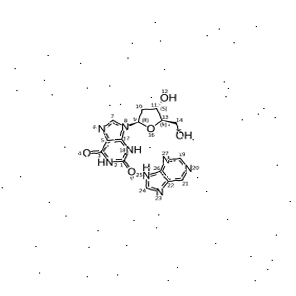 O=c1[nH]c(=O)c2ncn([C@H]3C[C@H](O)[C@@H](CO)O3)c2[nH]1.c1ncc2nc[nH]c2n1